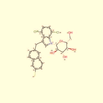 OC[C@H]1O[C@@H](n2cc(Cc3ccc4cc(F)ccc4c3)c3c(Cl)ccc(Cl)c32)[C@H](O)[C@@H](O)[C@@H]1O